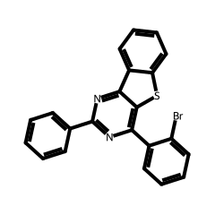 Brc1ccccc1-c1nc(-c2ccccc2)nc2c1sc1ccccc12